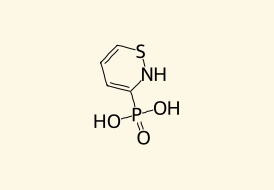 O=P(O)(O)C1=CC=CSN1